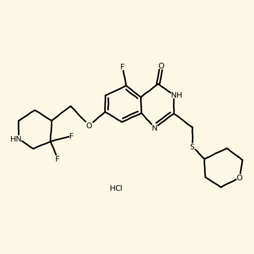 Cl.O=c1[nH]c(CSC2CCOCC2)nc2cc(OCC3CCNCC3(F)F)cc(F)c12